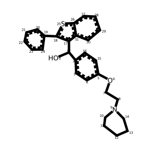 OC(c1ccc(OCCN2CCCCC2)cc1)c1c(-c2ccccc2)sc2ccccc12